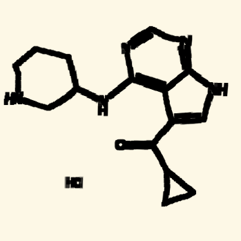 Cl.O=C(c1c[nH]c2ncnc(NC3CCCNC3)c12)C1CC1